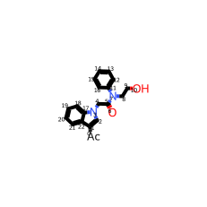 CC(=O)c1cn(CC(=O)N(CCO)c2ccccc2)c2ccccc12